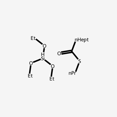 CCCCCCCC(=O)SCCC.CCO[SiH](OCC)OCC